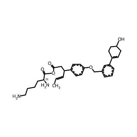 CC=CC(CC(=O)OC(=O)[C@@H](N)CCCCN)c1ccc(OCc2cccc(C3=CCC(O)CC3)c2)cc1